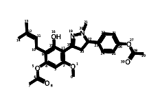 COc1cc(OC(C)=O)c(CC=C(C)C)c(O)c1C1=NN(C)C(c2ccc(OC(C)=O)cc2)C1